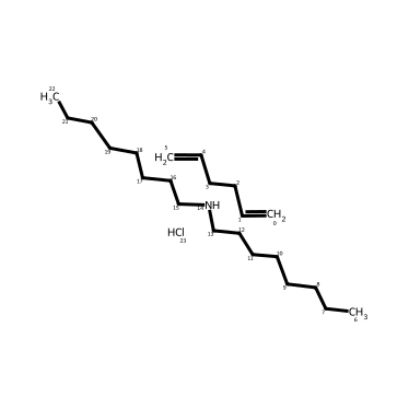 C=CCCC=C.CCCCCCCCNCCCCCCCC.Cl